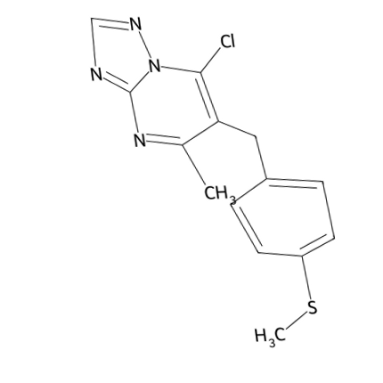 CSc1ccc(Cc2c(C)nc3ncnn3c2Cl)cc1